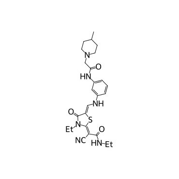 CCNC(=O)C(C#N)=c1sc(=CNc2cccc(NC(=O)CN3CCC(C)CC3)c2)c(=O)n1CC